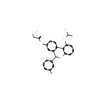 COCC(=O)Nc1ccc2c(c1)C(c1cccc(Cl)c1)Oc1cccc(OC(F)F)c1-2